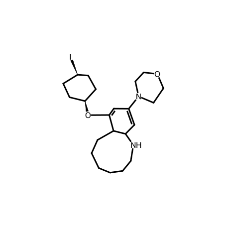 I[C@H]1CC[C@@H](OC2=CC(N3CCOCC3)=CC3NCCCCCCC23)CC1